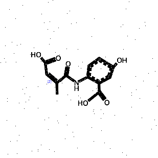 C/C(=C/C(=O)O)C(=O)Nc1ccc(O)cc1C(=O)O